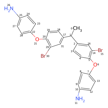 CC(c1ccc(Oc2ccc(N)cc2)c(Br)c1)c1ccc(Oc2ccc(N)cc2)c(Br)c1